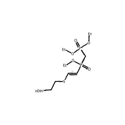 CCCCCCCCCCCCS/C=C/P(=O)(CP(=O)(OCC)OCC)OCC